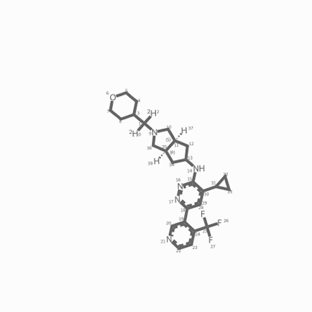 [2H]C([2H])(C1CCOCC1)N1C[C@H]2CC(Nc3nnc(-c4cnccc4C(F)(F)F)cc3C3CC3)C[C@H]2C1